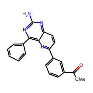 COC(=O)c1cccc(-c2ccc3nc(N)nc(-c4ccccc4)c3n2)c1